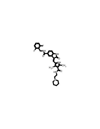 Cc1[nH]c(/C=C2\C(=O)Nc3ccc(C(=O)NCc4c(F)cccc4F)cc32)c(C)c1C(=O)NCCN1CCCCC1